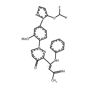 COc1cc(-n2nccc2OC(F)F)ccc1-n1ccc(=O)c(/C(=C/C(C)=N)Nc2ccccc2)n1